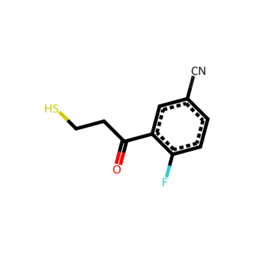 N#Cc1ccc(F)c(C(=O)CCS)c1